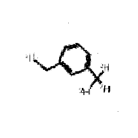 [2H]Cc1cccc(C([2H])([2H])[2H])c1